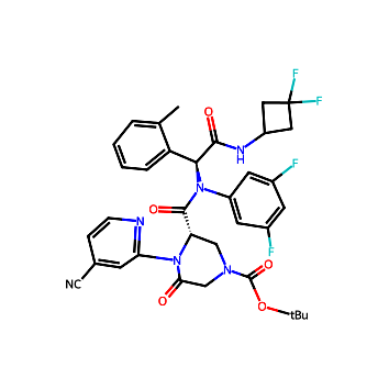 Cc1ccccc1[C@@H](C(=O)NC1CC(F)(F)C1)N(C(=O)[C@@H]1CN(C(=O)OC(C)(C)C)CC(=O)N1c1cc(C#N)ccn1)c1cc(F)cc(F)c1